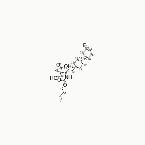 CCCCOC(=O)NC(CCc1ccc(-c2cccc(F)c2)cc1)C(C)(CO)C(=O)O